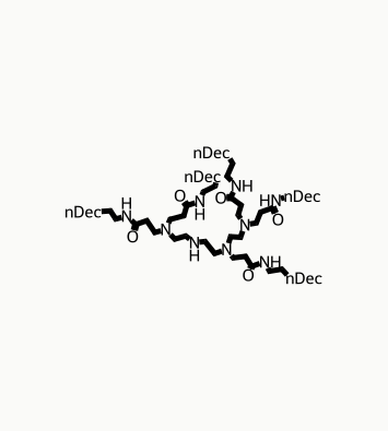 CCCCCCCCCCCCNC(=O)CCN(CCNCCN(CCC(=O)NCCCCCCCCCCCC)CCN(CCC(=O)NCCCCCCCCCC)CCC(=O)NCCCCCCCCCCCC)CCC(=O)NCCCCCCCCCCCC